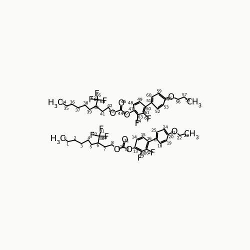 CCCCCCC(CCOC(=O)Oc1ccc(-c2ccc(OCC)cc2)c(F)c1F)C(F)(F)F.CCCCCCC(CCOC(=O)Oc1ccc(-c2ccc(OCCC)cc2)c(F)c1F)C(F)(F)F